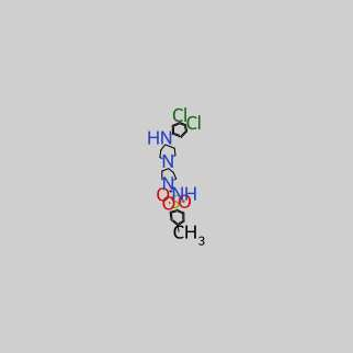 Cc1ccc(S(=O)(=O)NC(=O)N2CCC(N3CCC(Nc4ccc(Cl)c(Cl)c4)CC3)CC2)cc1